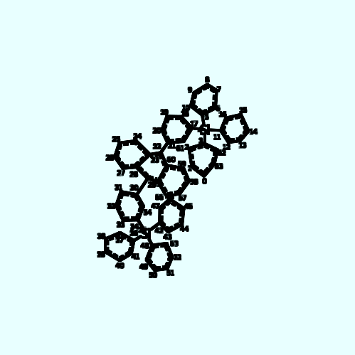 c1ccc([Si](c2ccccc2)(c2ccccc2)c2cccc(-c3c4ccccc4c(-c4cccc([Si](c5ccccc5)(c5ccccc5)c5ccccc5)c4)c4ccccc34)c2)cc1